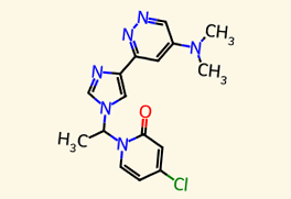 CC(n1cnc(-c2cc(N(C)C)cnn2)c1)n1ccc(Cl)cc1=O